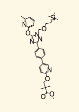 COC(=O)C(C)(C)COc1ccc(-c2ccc(-c3nc(Oc4cccc(C)n4)n(COCC[Si](C)(C)C)n3)cc2)cn1